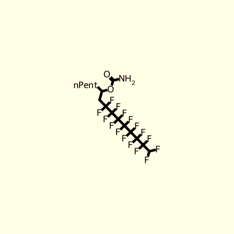 CCCCCC(CC(F)(F)C(F)(F)C(F)(F)C(F)(F)C(F)(F)C(F)(F)C(F)(F)C(F)F)OC(N)=O